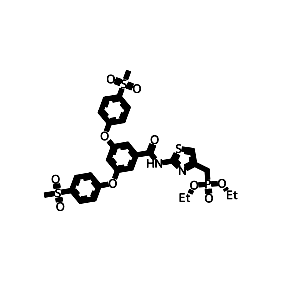 CCOP(=O)(Cc1csc(NC(=O)c2cc(Oc3ccc(S(C)(=O)=O)cc3)cc(Oc3ccc(S(C)(=O)=O)cc3)c2)n1)OCC